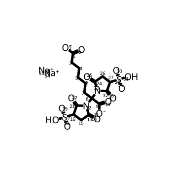 O=C([O-])CCCCCC(C(=O)[O-])(N1C(=O)CC(S(=O)(=O)O)C1=O)N1C(=O)CC(S(=O)(=O)O)C1=O.[Na+].[Na+]